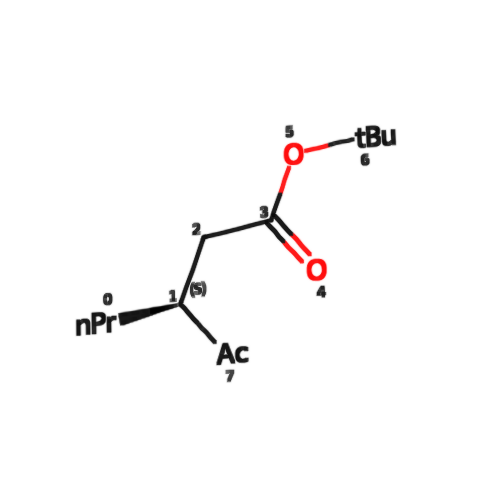 CCC[C@@H](CC(=O)OC(C)(C)C)C(C)=O